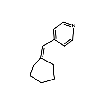 C(=C1CCCCC1)c1ccncc1